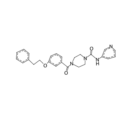 O=C(Nc1cccnc1)N1CCN(C(=O)c2cccc(OCCc3ccccc3)c2)CC1